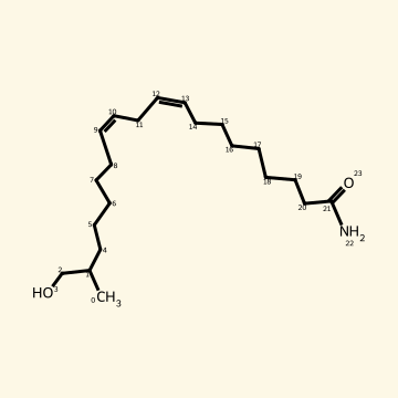 CC(CO)CCCCC/C=C\C/C=C\CCCCCCCC(N)=O